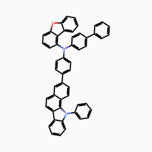 c1ccc(-c2ccc(N(c3ccc(-c4ccc5c(ccc6c7ccccc7n(-c7ccccc7)c56)c4)cc3)c3cccc4oc5ccccc5c34)cc2)cc1